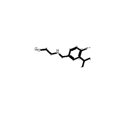 CC(C)c1cc(CNCCO)ccc1F